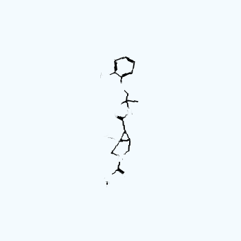 CCc1ccccc1OCC(C)(C)NC(=O)C1C2CN(C(=O)OC(C)(C)C)C[C@@H]21